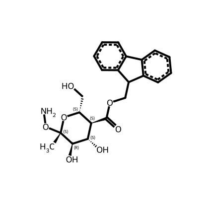 C[C@@]1(ON)O[C@H](CO)[C@@H](C(=O)OCC2c3ccccc3-c3ccccc32)[C@H](O)[C@H]1O